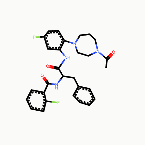 CC(=O)N1CCCN(c2ccc(F)cc2NC(=O)C(Cc2ccccc2)NC(=O)c2ccccc2F)CC1